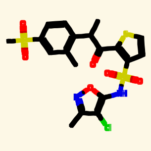 Cc1cc(S(C)(=O)=O)ccc1C(C)C(=O)c1sccc1S(=O)(=O)Nc1onc(C)c1Cl